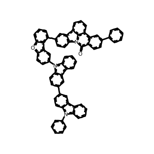 O=c1c2ccc(-c3ccccc3)cc2c2cccc3c4cc(-c5cccc6oc7ccc(-n8c9ccccc9c9cc(-c%10ccc%11c(c%10)c%10ccccc%10n%11-c%10ccccc%10)ccc98)cc7c56)ccc4n1c23